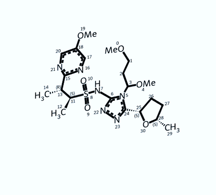 COCCC(OC)n1c(NS(=O)(=O)[C@@H](C)[C@H](C)c2ncc(OC)cn2)nnc1[C@@H]1CC[C@H](C)O1